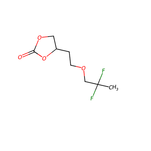 CC(F)(F)COCCC1COC(=O)O1